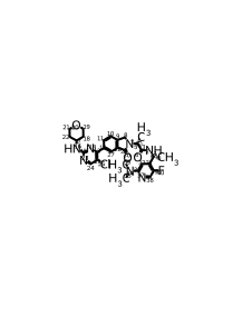 C[C@@H](NC(=O)[C@H](C)N1Cc2ccc(-c3nc(NC4CCOCC4)ncc3Cl)cc2C1=O)c1cc(N(C)C)ncc1F